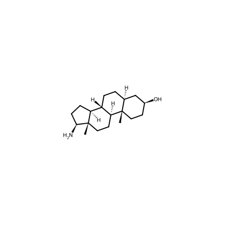 C[C@]12CC[C@H](O)C[C@@H]1CC[C@@H]1[C@@H]2CC[C@]2(C)[C@@H](N)CC[C@@H]12